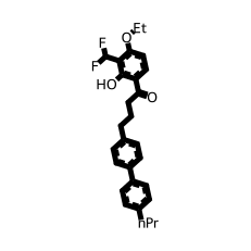 CCCc1ccc(-c2ccc(CCCC(=O)c3ccc(OCC)c(C(F)F)c3O)cc2)cc1